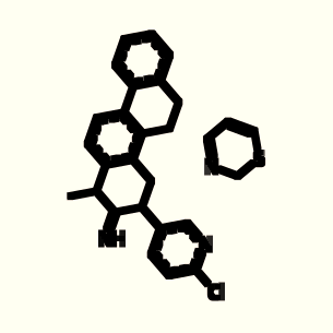 C1=CSCN=C1.CC1C(=N)C(c2ccc(Cl)nc2)Cc2c1ccc1c2CCc2ccccc2-1